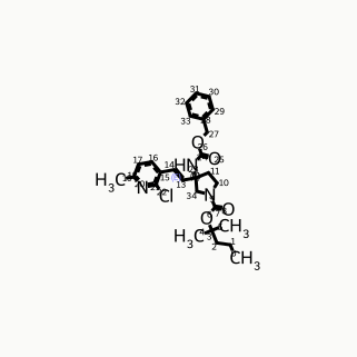 CCCC(C)(C)OC(=O)N1CC[C@](/C=C/c2ccc(C)nc2Cl)(NC(=O)OCc2ccccc2)C1